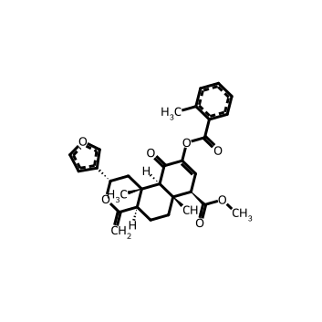 C=C1O[C@H](c2ccoc2)C[C@]2(C)[C@H]3C(=O)C(OC(=O)c4ccccc4C)=C[C@@H](C(=O)OC)[C@]3(C)CC[C@@H]12